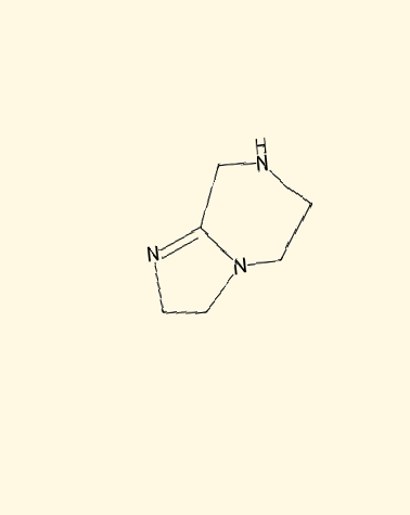 C1CN2CCNCC2=N1